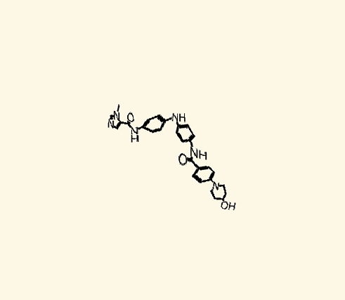 Cn1cncc1C(=O)Nc1ccc(Nc2ccc(NC(=O)c3ccc(N4CCC(O)CC4)cc3)cc2)cc1